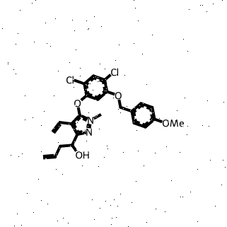 C=CCC(O)c1nn(C)c(Oc2cc(OCc3ccc(OC)cc3)c(Cl)cc2Cl)c1C=C